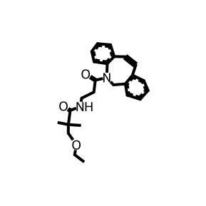 CCOCC(C)(C)C(=O)NCCC(=O)N1Cc2ccccc2C#Cc2ccccc21